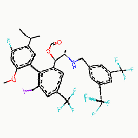 COc1cc(F)c(C(C)C)cc1-c1c(I)cc(C(F)(F)F)cc1[C@@H](OC=O)[C@@H](C)NCc1cc(C(F)(F)F)cc(C(F)(F)F)c1